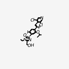 CCn1c(CO)nn(-c2cc(OC(C)C)c(/C(F)=C/c3c(Cl)cncc3Cl)cc2I)c1=O